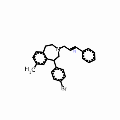 Cc1ccc2c(c1)C(c1ccc(Br)cc1)CN(C/C=C/c1ccccc1)CC2